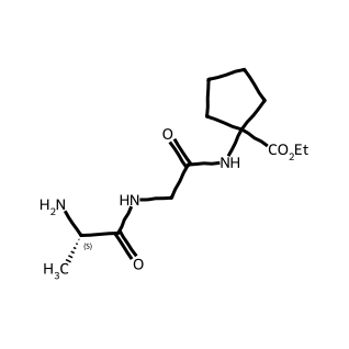 CCOC(=O)C1(NC(=O)CNC(=O)[C@H](C)N)CCCC1